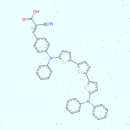 N#C/C(=C\c1ccc(N(c2ccccc2)c2ccc(-c3ccc(-c4ccc(N(c5ccccc5)c5ccccc5)s4)s3)s2)cc1)C(=O)O